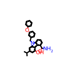 CC(C)c1cc(O)c2c3c(C(N)=O)cccc3n(Cc3cccc(Oc4ccccc4)c3)c2c1